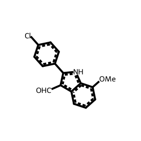 COc1cccc2c(C=O)c(-c3ccc(Cl)cc3)[nH]c12